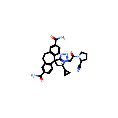 N#CC1CCCN1C(=O)CN[C@H](CC1(c2nnn[nH]2)c2ccc(C(N)=O)cc2CCc2cc(C(N)=O)ccc21)C1CC1